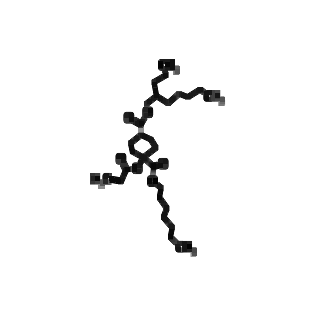 C=CC(=O)OC1(C(=O)OCCCCCCC)CCC(C(=O)OCC(CCC)CCCCC)CC1